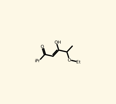 CCOC(C)/C(O)=C/C(=O)C(C)C